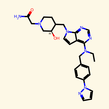 CCN(Cc1ccc(-n2cccn2)cc1)c1ncnc2c1ccn2CC1CCN(CC(N)=O)C[C@@H]1O